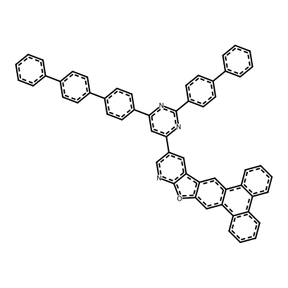 c1ccc(-c2ccc(-c3ccc(-c4cc(-c5cnc6oc7cc8c9ccccc9c9ccccc9c8cc7c6c5)nc(-c5ccc(-c6ccccc6)cc5)n4)cc3)cc2)cc1